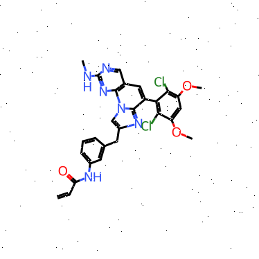 C=CC(=O)Nc1cccc(Cc2cn3c(n2)c(-c2c(Cl)c(OC)cc(OC)c2Cl)cc2cnc(NC)nc23)c1